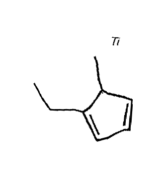 CCC1=CC=C[C]1C.[Ti]